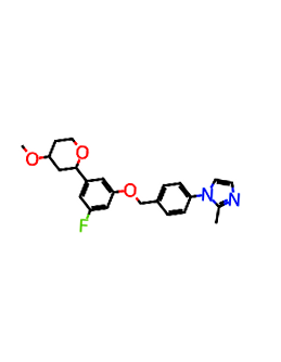 COC1CCOC(c2cc(F)cc(OCc3ccc(-n4ccnc4C)cc3)c2)C1